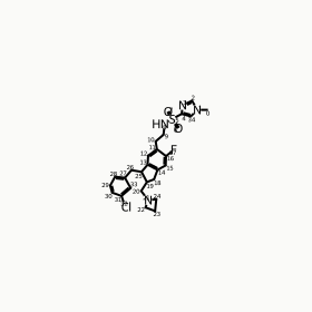 Cn1cnc(S(=O)(=O)NCCc2cc3c(cc2F)CC(CN2CCC2)C3Cc2cccc(Cl)c2)c1